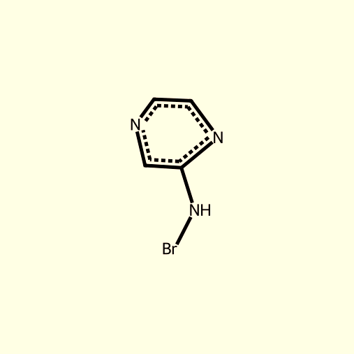 BrNc1cnccn1